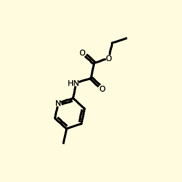 CCOC(=O)C(=O)Nc1ccc(C)cn1